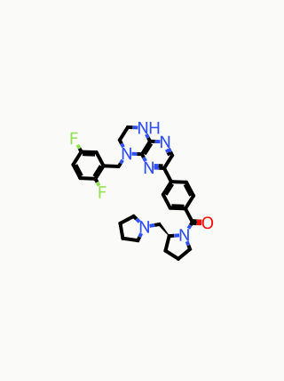 O=C(c1ccc(-c2cnc3c(n2)N(Cc2cc(F)ccc2F)CCN3)cc1)N1CCC[C@H]1CN1CCCC1